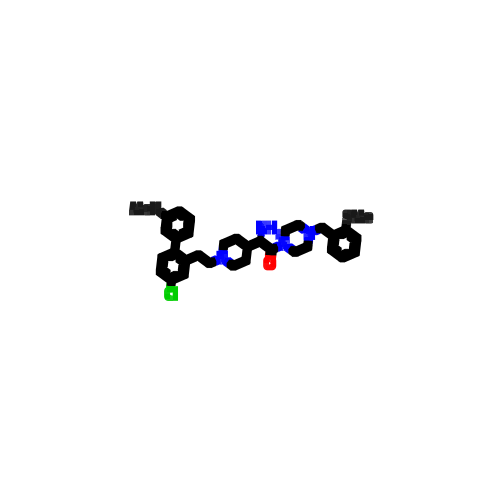 CNc1cccc(-c2ccc(Cl)cc2CCN2CCC([C@@H](N)C(=O)N3CCN(Cc4ccccc4SC)CC3)CC2)c1